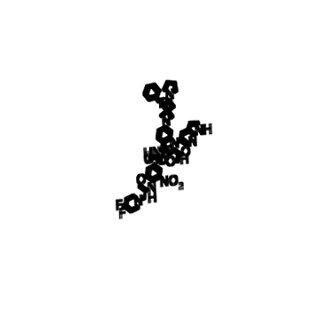 CC(C)c1ccccc1[C@@H]1CCCN1C1CC2(C1)CN(c1ccc(C(=O)NS(=O)(=O)c3cc4c(c([N+](=O)[O-])c3)N[C@@H](CN3CCC(F)(F)CC3)CO4)c(N3c4cc5cc[nH]c5nc4O[C@@H]4COC[C@H]43)c1)C2